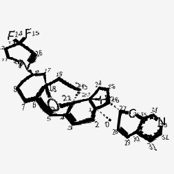 C[C@]12CC=C3C=C4CC[C@@H](N5CCC(F)(F)C5)C[C@]45CC[C@]3(O5)[C@@H]1CCC2[C@H]1C=Cc2ccncc2C1